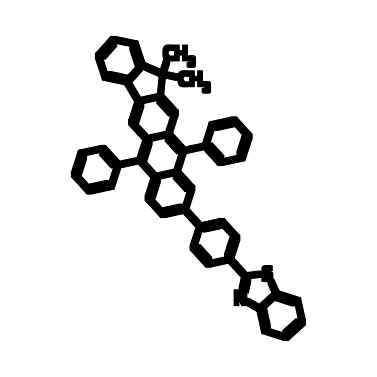 CC1(C)c2ccccc2-c2cc3c(-c4ccccc4)c4ccc(-c5ccc(-c6nc7ccccc7s6)cc5)cc4c(-c4ccccc4)c3cc21